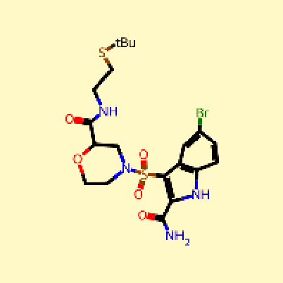 CC(C)(C)SCCNC(=O)C1CN(S(=O)(=O)c2c(C(N)=O)[nH]c3ccc(Br)cc23)CCO1